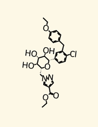 CCOC(=O)c1cnn(C[C@H]2O[C@@H](c3ccc(Cl)c(Cc4ccc(OCC)cc4)c3)[C@H](O)[C@@H](O)[C@@H]2O)c1